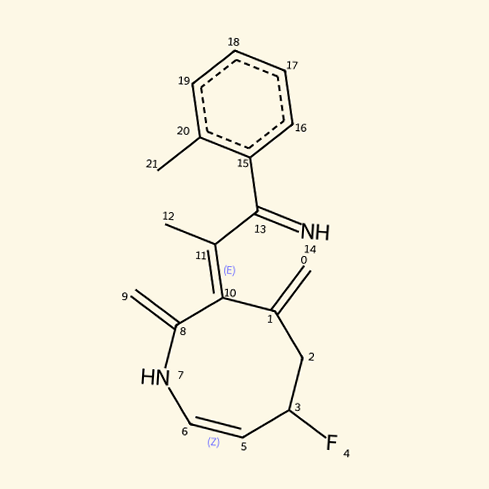 C=C1CC(F)/C=C\NC(=C)/C1=C(\C)C(=N)c1ccccc1C